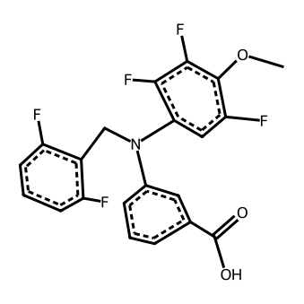 COc1c(F)cc(N(Cc2c(F)cccc2F)c2cccc(C(=O)O)c2)c(F)c1F